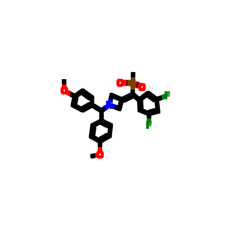 COc1ccc(C(c2ccc(OC)cc2)N2CC(=C(c3cc(F)cc(F)c3)S(C)(=O)=O)C2)cc1